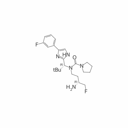 CC(C)(C)[C@H](c1nc(-c2cccc(F)c2)c[nH]1)N(CC[C@@H](N)CF)C(=O)N1CCCC1